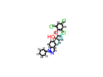 OC(c1ccc2c(cnn2-c2ccccc2)c1)(C(F)F)C(F)Oc1c(Cl)cc(Cl)cc1Cl